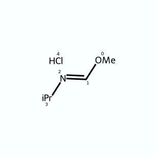 COC=NC(C)C.Cl